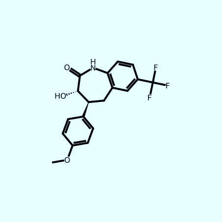 COc1ccc([C@@H]2Cc3cc(C(F)(F)F)ccc3NC(=O)[C@H]2O)cc1